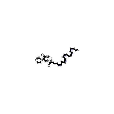 CC/C=C\C/C=C\C/C=C\C/C=C\C/C=C\CCCC(=O)NCC(C(N)=O)N1CCOCC1